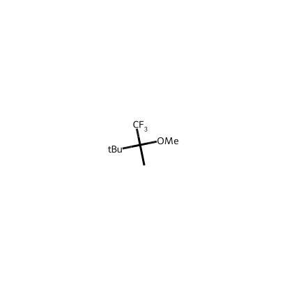 COC(C)(C(C)(C)C)C(F)(F)F